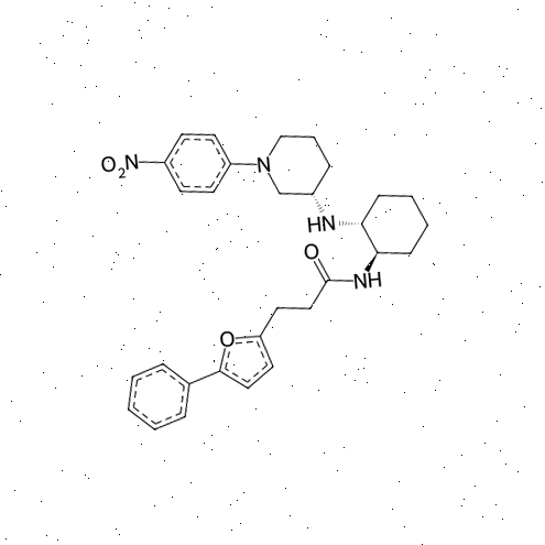 O=C(CCc1ccc(-c2ccccc2)o1)N[C@@H]1CCCC[C@H]1N[C@H]1CCCN(c2ccc([N+](=O)[O-])cc2)C1